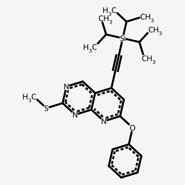 CSc1ncc2c(C#C[Si](C(C)C)(C(C)C)C(C)C)cc(Oc3ccccc3)nc2n1